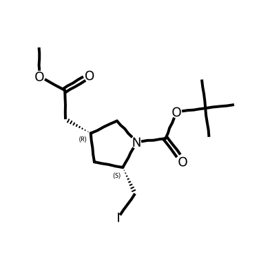 COC(=O)C[C@H]1C[C@@H](CI)N(C(=O)OC(C)(C)C)C1